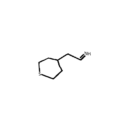 N=CCC1CCSCC1